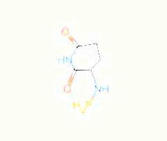 O=C1CCC(NP)C(=O)N1